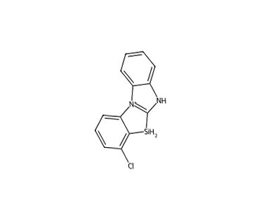 Clc1cccc2c1[SiH2]c1[nH]c3ccccc3[n+]1-2